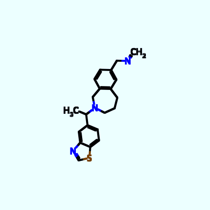 C=NCc1ccc2c(c1)CCCN(C(C)c1ccc3scnc3c1)C2